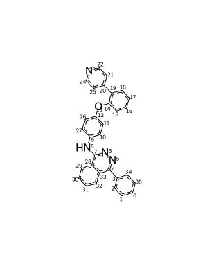 c1ccc(-c2nnc(Nc3ccc(Oc4ccccc4-c4ccncc4)cc3)c3ccccc23)cc1